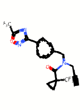 C#CCN(Cc1ccc(-c2noc(C(F)(F)F)n2)cc1)C(=O)C1(C(F)(F)F)CC1